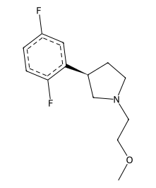 COCCN1CC[C@H](c2cc(F)ccc2F)C1